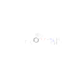 CN(C)CCCOCc1ccc(C(F)(F)F)cc1C(C)(C)C